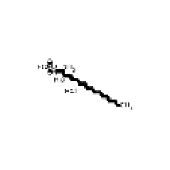 CCCCCCCCCCCCC/C=C/C(O)C(N)COP(=O)(O)O.Cl